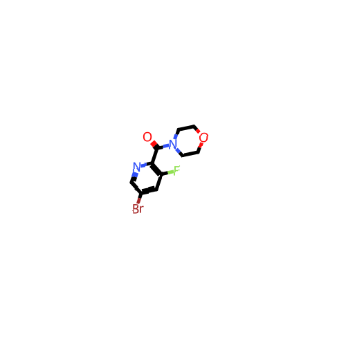 O=C(c1ncc(Br)cc1F)N1CCOCC1